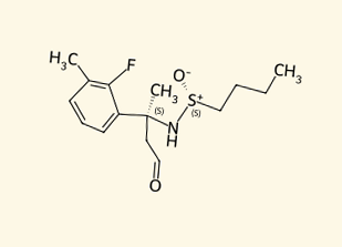 CCCC[S@@+]([O-])N[C@@](C)(CC=O)c1cccc(C)c1F